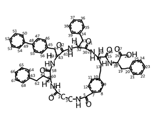 O=C1CCNC(=O)c2ccc(cc2)C[C@@H](C(=O)N[C@H](Cc2ccccc2)C(=O)O)NC(=O)[C@@H](Cc2ccccc2)NC(=O)[C@H](Cc2ccc(-c3ccccc3)cc2)NC(=O)[C@@H](CCc2ccccc2)N1